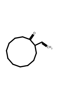 C=CC1CCCCCCCCCCC1=O